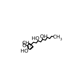 CCCCCC(O)CC(O)CCc1ccc(O)c(OC)c1